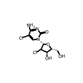 Nc1nc(=O)n([C@@H]2O[C@H](CO)[C@@H](O)C2Cl)cc1Cl